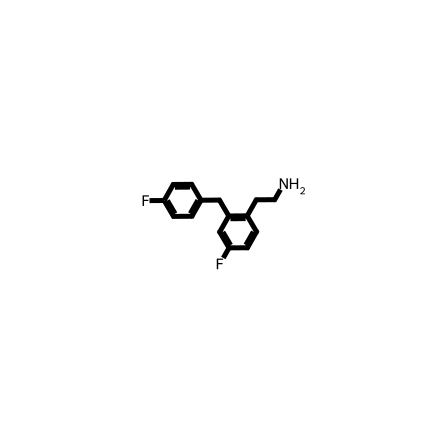 NCCc1ccc(F)cc1Cc1ccc(F)cc1